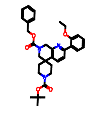 CCOc1ccccc1-c1ccc2c(n1)CN(C(=O)OCc1ccccc1)CC21CCN(C(=O)OC(C)(C)C)CC1